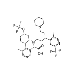 Cc1cnc(C(F)(F)F)cc1[C@@H](CCN1CCCCC1)CCN(C)[C@@H](C(=O)O)c1cccc(C)c1C1CCC(OC(F)(F)F)CC1